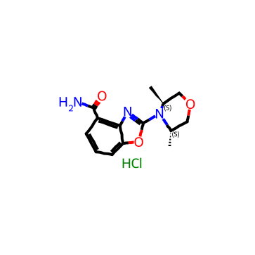 C[C@H]1COC[C@H](C)N1c1nc2c(C(N)=O)cccc2o1.Cl